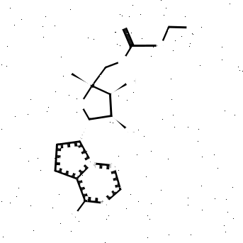 CCOC(=O)OC[C@@]1(C)O[C@@H](c2ccc3c(N)ncnn23)[C@H](O)[C@@H]1O